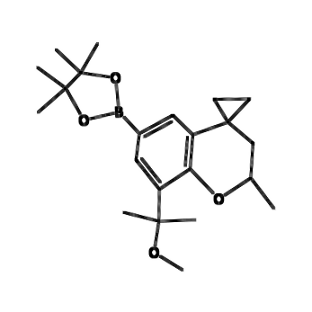 COC(C)(C)c1cc(B2OC(C)(C)C(C)(C)O2)cc2c1OC(C)CC21CC1